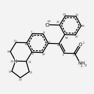 NC(=O)C=C(c1ccc2c(c1)C1CCCN1CC2)c1ccccc1Cl